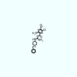 C[N+]1(Cc2ccccc2)CCC(N/C(N)=N/C(=O)c2nc(Cl)c(N)nc2N)CC1